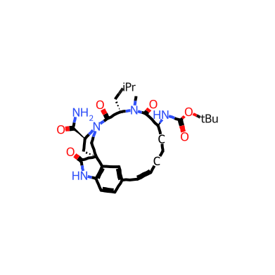 CC(C)C[C@H]1C(=O)N2C[C@]3(C[C@H]2C(N)=O)C(=O)Nc2ccc(cc23)/C=C\CCC[C@H](NC(=O)OC(C)(C)C)C(=O)N1C